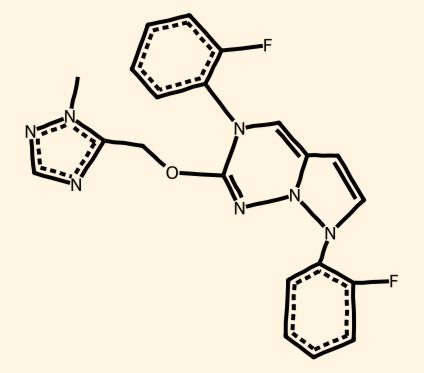 Cn1ncnc1COC1=NN2C(=CN1c1ccccc1F)C=CN2c1ccccc1F